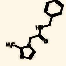 Cc1nccn1CC(=O)NCc1ccccc1